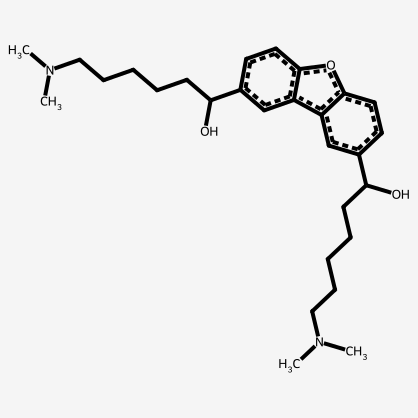 CN(C)CCCCCC(O)c1ccc2oc3ccc(C(O)CCCCCN(C)C)cc3c2c1